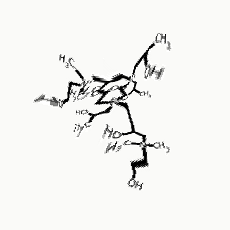 CC(O)C[N+](CC[N+](CC(C)O)(CC(C)O)CC(O)C[N+](C)(C)CCO)(CC(C)O)CC(O)C[N+](C)(C)CCO